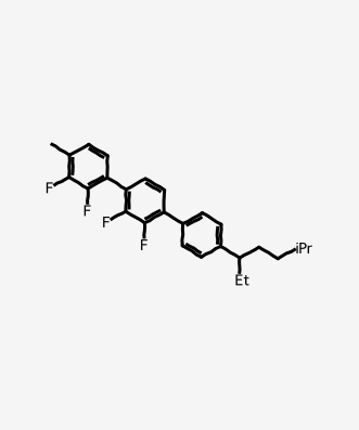 CCC(CCC(C)C)c1ccc(-c2ccc(-c3ccc(C)c(F)c3F)c(F)c2F)cc1